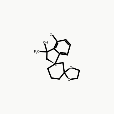 OC1(C(F)(F)F)C[C@@]2(CCCC3(C2)OCCO3)c2cccc(Cl)c21